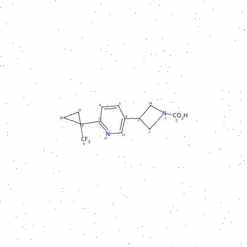 O=C(O)N1CC(c2ccc(C3(C(F)(F)F)CC3)nc2)C1